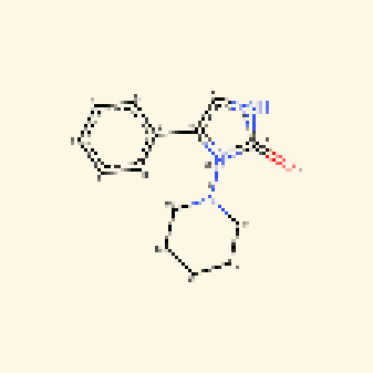 O=c1[nH]cc(-c2ccccc2)n1N1CCCCC1